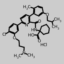 Cc1ccc(OCC(C)C)cc1-c1ccc(-c2ccc(Cl)c(OCCCN(C)C)c2)nc1C(=O)NC1(C(=O)O)CCCCC1.Cl